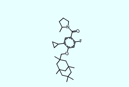 CC1CCCN1C(=O)c1cc(C2CC2)c(OCC2(C)CC3(C)CC(C)(C)CC(C)(C2)C3)cc1F